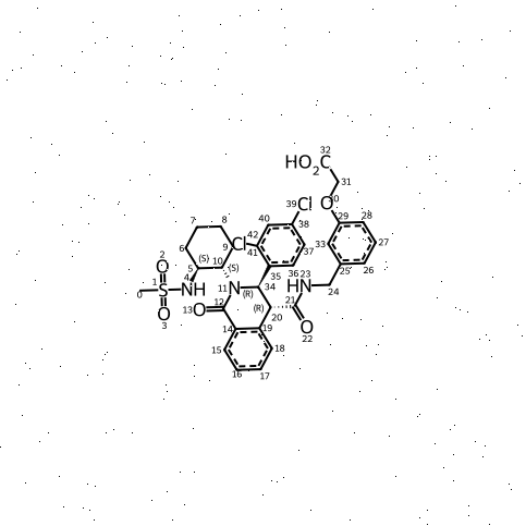 CS(=O)(=O)N[C@H]1CCCC[C@@H]1N1C(=O)c2ccccc2[C@@H](C(=O)NCc2cccc(OCC(=O)O)c2)[C@@H]1c1ccc(Cl)cc1Cl